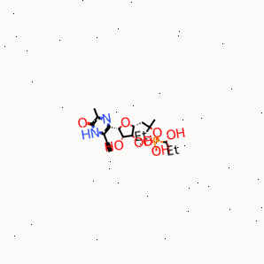 C#Cc1[nH]c(=O)c(C)nc1[C@@H]1O[C@H](CC(C)(CC)OP(=O)(O)C(O)CC)C(O)[C@@H]1O